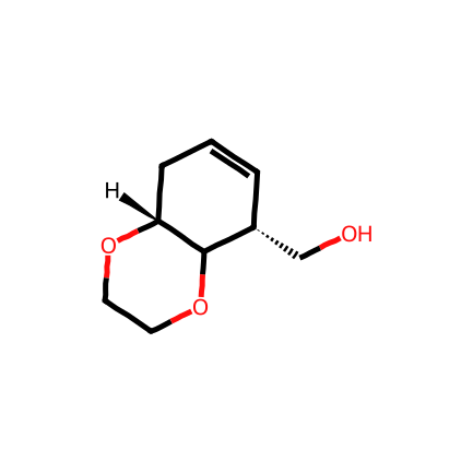 OC[C@H]1C=CC[C@H]2OCCOC12